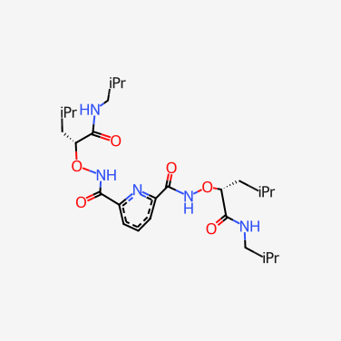 CC(C)CNC(=O)[C@@H](CC(C)C)ONC(=O)c1cccc(C(=O)NO[C@H](CC(C)C)C(=O)NCC(C)C)n1